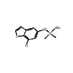 CC(C)(C)[Si](C)(C)Oc1cc(Cl)c2occc2c1